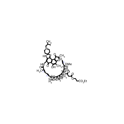 CCOC(=O)CCOC(=O)CC(=O)O[C@H]1[C@H](C)[C@H](O)[C@H](C)[C@@H](O)[C@@H](C)/C=C/C=C(/C)C(=O)NC2=C3NC4(CCN(CC(C)I)CC4)N=C3c3c(c(O)c(C)c4c3C(=O)[C@@](C)(O/C=C/[C@H](OC)[C@H]1C)O4)C2=O